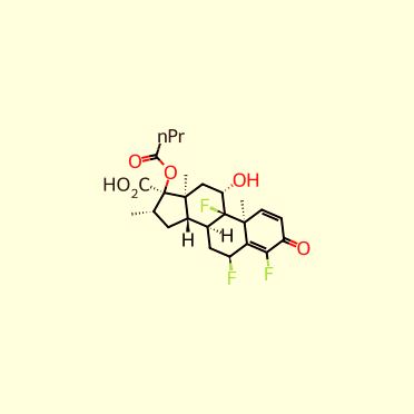 CCCC(=O)O[C@]1(C(=O)O)[C@@H](C)C[C@H]2[C@@H]3C[C@H](F)C4=C(F)C(=O)C=C[C@]4(C)[C@@]3(F)[C@@H](O)C[C@@]21C